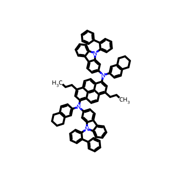 CCCc1cc(N(c2ccc3c(c2)CCCC3)c2ccc3c4ccccc4n(-c4ccccc4-c4ccccc4)c3c2)c2ccc3c(CCC)cc(N(c4ccc5c(c4)CCCC5)c4ccc5c6ccccc6n(-c6ccccc6-c6ccccc6)c5c4)c4ccc1c2c34